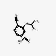 CC(C)Oc1ccccc1C#N.O=CO